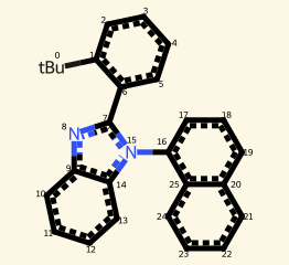 CC(C)(C)c1ccccc1-c1nc2ccccc2n1-c1cccc2ccccc12